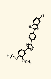 COc1ccc(-c2nc(-c3ccc(-c4nc5cc(Cl)ccc5[nH]4)cc3)no2)cc1OC